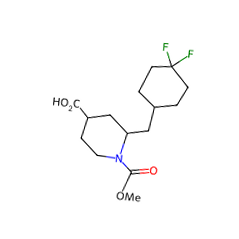 COC(=O)N1CCC(C(=O)O)CC1CC1CCC(F)(F)CC1